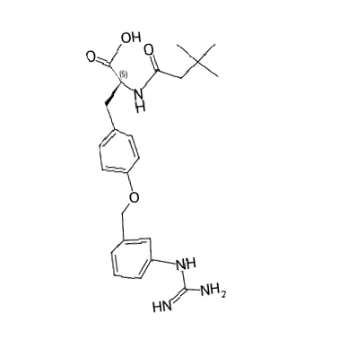 CC(C)(C)CC(=O)N[C@@H](Cc1ccc(OCc2cccc(NC(=N)N)c2)cc1)C(=O)O